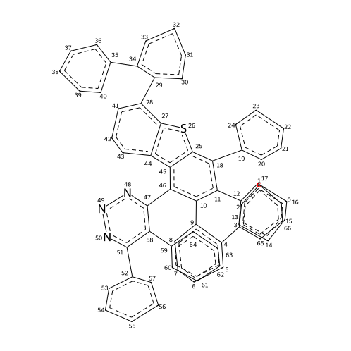 c1ccc(-c2ccccc2-c2c(-c3ccccc3)c(-c3ccccc3)c3sc4c(-c5ccccc5-c5ccccc5)cccc4c3c2-c2nnnc(-c3ccccc3)c2-c2ccccc2)cc1